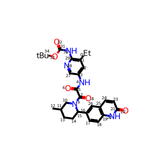 CCc1cc(NC(=O)C(=O)N2CC(C)CCC2c2ccc3[nH]c(=O)ccc3c2)cnc1NC(=O)OC(C)(C)C